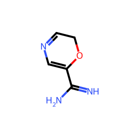 N=C(N)C1=CN=CCO1